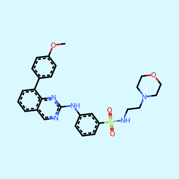 COc1ccc(-c2cccc3cnc(Nc4cccc(S(=O)(=O)NCCN5CCOCC5)c4)nc23)cc1